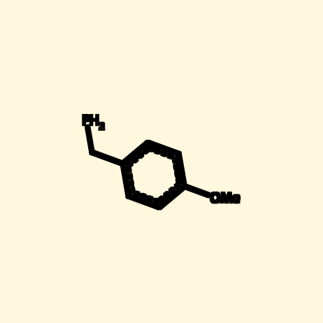 COc1ccc(CP)cc1